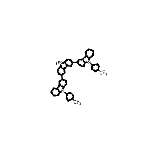 FC(F)(F)c1ccc(-n2c3ccccc3c3cc(-c4ccc5[nH]c6ccc(-c7ccc8c(c7)c7ccccc7n8-c7ccc(C(F)(F)F)cc7)cc6c5c4)ccc32)cc1